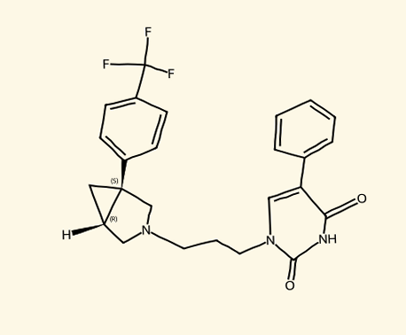 O=c1[nH]c(=O)n(CCCN2C[C@@H]3C[C@]3(c3ccc(C(F)(F)F)cc3)C2)cc1-c1ccccc1